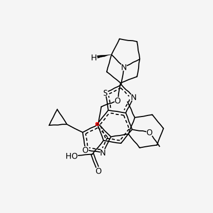 COc1cc(C(=O)O)cc2sc(N3C4CC[C@H]3CC(OCc3c(C5CCCCC5C)noc3C3CC3)C4)nc12